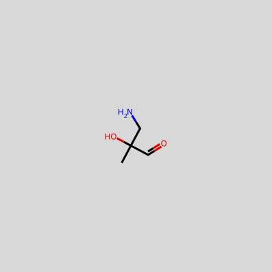 CC(O)(C=O)CN